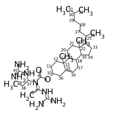 C=C(NC(N)N)N(C(=O)OC1CCC2(C)C(=CCC3C2CCC2(C)C(C(C)CCCC(C)C)CCC32)C1)C(CC)NC(N)N